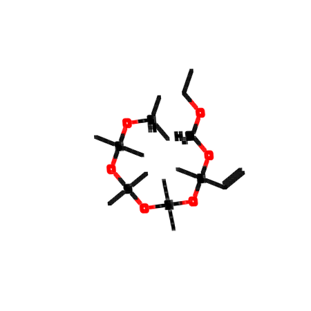 C=C[Si](C)(O[SiH2]OCC)O[Si](C)(C)O[Si](C)(C)O[Si](C)(C)O[SiH](C)C